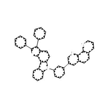 c1ccc(-c2sc3c(ccc4c3c3ccccc3n4-c3cccc(-c4cnc5c(ccc6cccnc65)c4)c3)c2-c2ccccc2)cc1